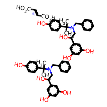 CC(C)(c1ccc(O)cc1)N(Cc1ccccc1)CC(O)c1cc(O)cc(O)c1.CC(C)(c1ccc(O)cc1)N(Cc1ccccc1)CC(O)c1cc(O)cc(O)c1.O=C(O)/C=C/C(=O)O